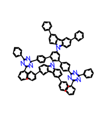 c1ccc(-c2ccc3c(c2)c2cc(-c4ccccc4)ccc2n3-c2cc(-c3ccc(-c4nc(-c5ccccc5)nc(-c5ccccc5)n4)cc3)c(-n3c4ccc(-c5ccccc5)cc4c4cc(-c5ccccc5)ccc43)c(-c3ccc(-c4nc(-c5ccccc5)nc(-c5ccccc5)n4)cc3)c2)cc1